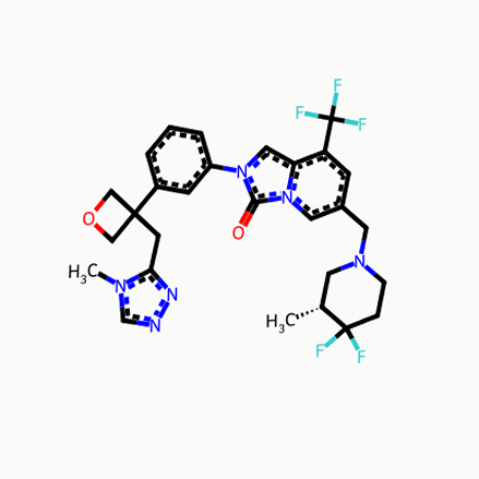 C[C@@H]1CN(Cc2cc(C(F)(F)F)c3cn(-c4cccc(C5(Cc6nncn6C)COC5)c4)c(=O)n3c2)CCC1(F)F